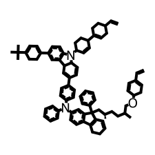 C=CC1=CCC(OCC(C)CC[C@@H](C)CC2(c3ccccc3)C3=C(CCC=C3)c3ccc(N(c4ccccc4)c4ccc(C5=CC6c7cc(C8=CC=C(C(C)(C)C)CC8)ccc7N(C7C=CC(C8=CCC(C=C)CC8)CC7)C6C=C5)cc4)cc32)C=C1